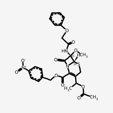 CO[C@@]1(NC(=O)COc2ccccc2)C(=O)N2C(C(=O)OCc3ccc([N+](=O)[O-])cc3)=C(C(C)OC(C)=O)CS[C@H]21